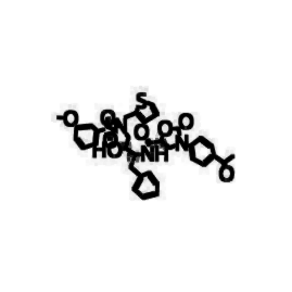 COc1cccc(S(=O)(=O)N(Cc2cccs2)C[C@@H](O)[C@H](Cc2ccccc2)NC(=O)[C@@H]2CN(c3ccc(C(C)=O)cc3)C(=O)O2)c1